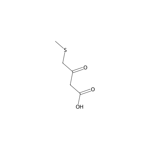 CSCC(=O)CC(=O)O